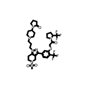 CS(=O)(=O)N1CCc2c(c(-c3ccc(C(F)(F)F)c(SCC(=O)N4CCCC4C(F)(F)F)c3)nn2CCCN2CCC(N3CCCC3=O)CC2)C1